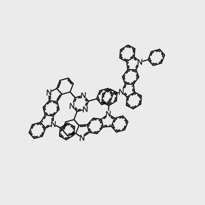 C1=CC(c2nc(-c3ccc(-n4c5ccccc5c5cc6c(cc54)c4ccccc4n6-c4ccccc4)cc3)nc(C3C=CC=C4N=c5cc6c7ccccc7n(-c7ccccc7)c6cc5=C43)n2)C2=c3cc4c(cc3=NC2=C1)c1ccccc1n4-c1ccccc1